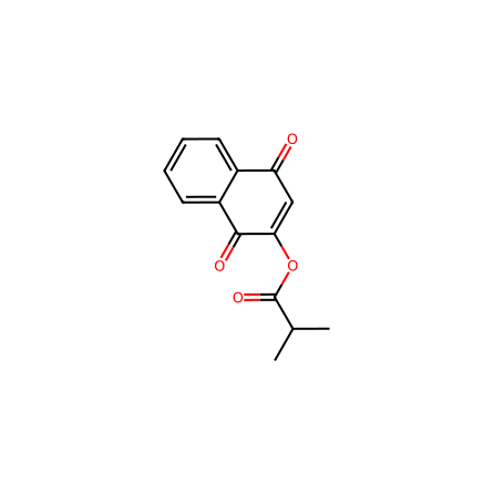 CC(C)C(=O)OC1=CC(=O)c2ccccc2C1=O